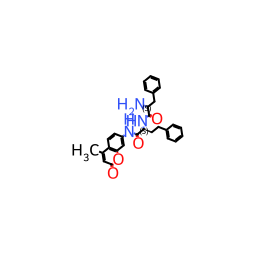 Cc1cc(=O)oc2cc(NC(=O)[C@H](CCc3ccccc3)NC(=O)[C@@H](N)Cc3ccccc3)ccc12